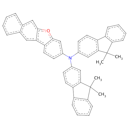 CC1(C)c2ccccc2-c2ccc(N(c3ccc4c(c3)C(C)(C)c3ccccc3-4)c3ccc4c(c3)oc3cc5ccccc5cc34)cc21